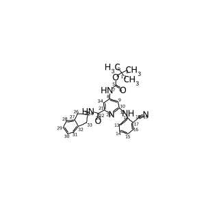 CC(C)(C)OC(=O)Nc1cc(Nc2ccccc2C#N)nc(C(=O)NC2Cc3ccccc3C2)c1